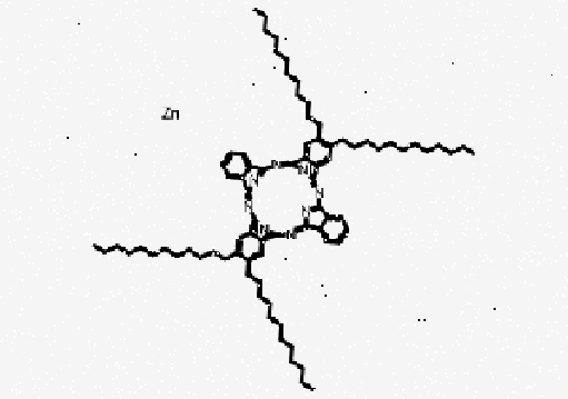 CCCCCCCCCCCCc1cc2c3nc4nc(nc5[nH]c(nc6nc(nc([nH]3)c2cc1CCCCCCCCCCCC)-c1ccccc1-6)c1cc(CCCCCCCCCCCC)c(CCCCCCCCCCCC)cc51)-c1ccccc1-4.[Zn]